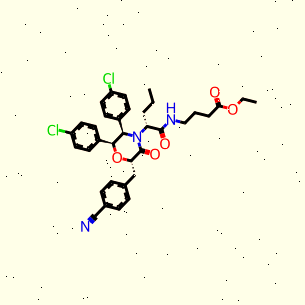 CCC[C@H](C(=O)NCCCC(=O)OCC)N1C(=O)[C@H](Cc2ccc(C#N)cc2)O[C@@H](c2ccc(Cl)cc2)[C@H]1c1ccc(Cl)cc1